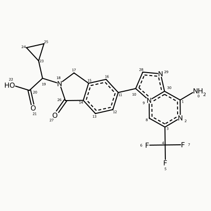 Nc1nc(C(F)(F)F)cn2c(-c3ccc4c(c3)CN(C(C(=O)O)C3CC3)C4=O)cnc12